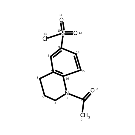 CC(=O)N1CCCc2cc(S(=O)(=O)Cl)ccc21